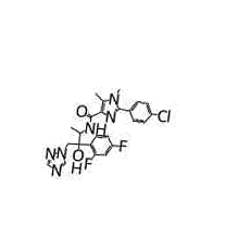 Cc1c(C(=O)NC(C)C(O)(Cn2cncn2)c2ccc(F)cc2F)nc(-c2ccc(Cl)cc2)n1C